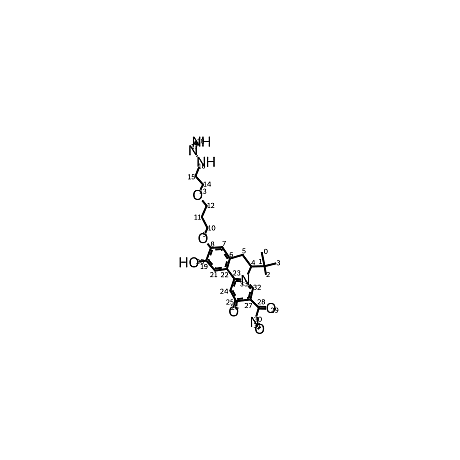 CC(C)(C)C1Cc2cc(OCCCOCCNN=N)c(O)cc2-c2cc(=O)c(C(=O)N=O)cn21